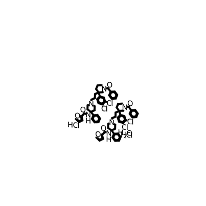 Cl.Cl.O.O=C(NC1(c2ccccc2)CCN(CCCC2(c3ccc(Cl)c(Cl)c3)CCCN(C(=O)c3ccccc3)C2)CC1)c1ccco1.O=C(NC1(c2ccccc2)CCN(CCCC2(c3ccc(Cl)c(Cl)c3)CCCN(C(=O)c3ccccc3)C2)CC1)c1ccco1